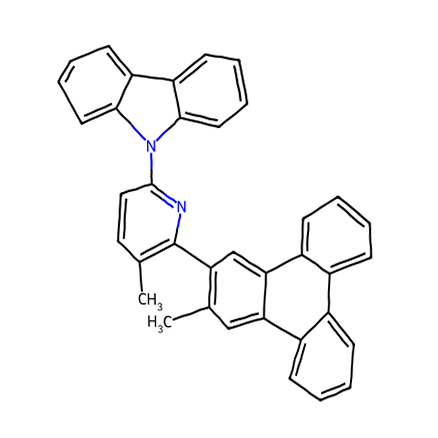 Cc1cc2c3ccccc3c3ccccc3c2cc1-c1nc(-n2c3ccccc3c3ccccc32)ccc1C